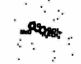 COc1ccccc1/C=C1/CCC(O[Si](C)(C)C)CC1=O